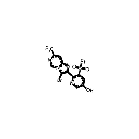 CCS(=O)(=O)c1cc(O)cnc1-c1nc2cc(C(F)(F)F)ncn2c1Br